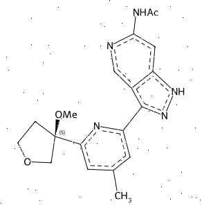 CO[C@]1(c2cc(C)cc(-c3n[nH]c4cc(NC(C)=O)ncc34)n2)CCOC1